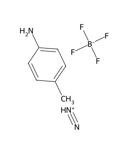 Cc1ccc(N)cc1.F[B-](F)(F)F.N#[NH+]